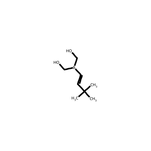 CC(C)(C)C=CB(CO)CO